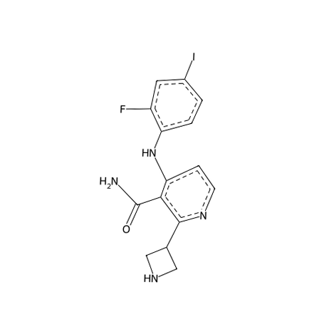 NC(=O)c1c(Nc2ccc(I)cc2F)ccnc1C1CNC1